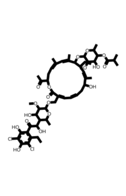 CCc1c(Cl)c(O)c(Cl)c(O)c1C(=O)C(O)C1C(C)OC(OC/C2=C/C=C\CC(O)/C(C)=C\C(CC)C(OC3OC(C)C(OC(=O)C(C)C)C(O)C3O)/C(C)=C\C(C)=C/CC(C(C)=O)OC2=O)C(OC)C1O